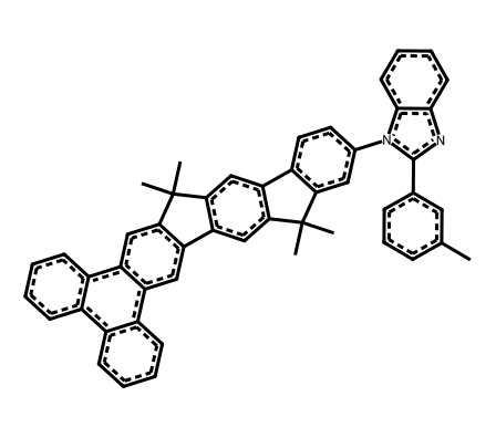 Cc1cccc(-c2nc3ccccc3n2-c2ccc3c(c2)C(C)(C)c2cc4c(cc2-3)C(C)(C)c2cc3c5ccccc5c5ccccc5c3cc2-4)c1